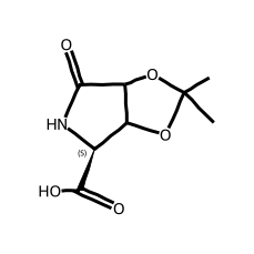 CC1(C)OC2C(=O)N[C@H](C(=O)O)C2O1